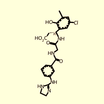 Cc1cc(Cl)cc([C@@H](CC(=O)O)NC(=O)CNC(=O)c2cccc(NC3=NCCN3)c2)c1O